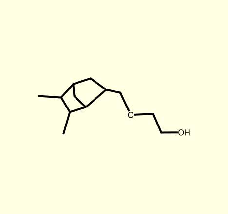 CC1C2CC(COCCO)C(C2)C1C